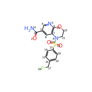 NC(=O)c1cnc2c(c1)N(S(=O)(=O)c1ccc(CF)cc1)CCO2